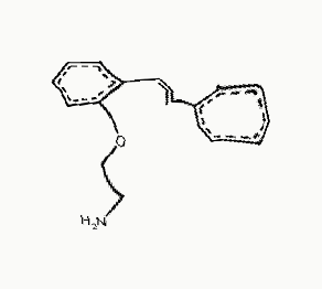 NCCOc1ccccc1C=Cc1ccccc1